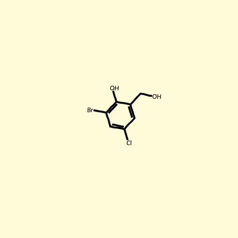 OCc1cc(Cl)cc(Br)c1O